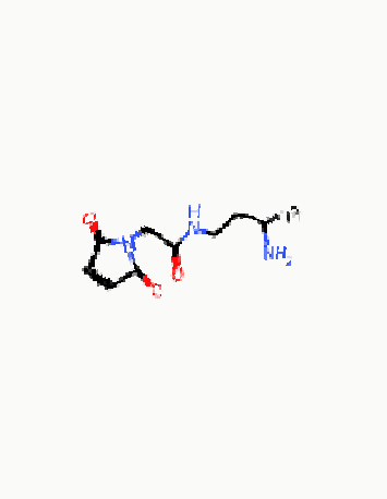 CCCC(N)CCNC(=O)CN1C(=O)C=CC1=O